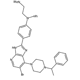 CCCN(CCNC)c1ccc(-c2nc3c(N4CCN(C(C)c5ccccc5)CC4)c(Br)cnc3[nH]2)cc1